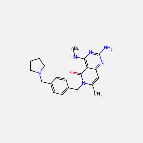 CCCCNc1nc(N)nc2cc(C)n(Cc3ccc(CN4CCCC4)cc3)c(=O)c12